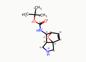 CC(C)(C)OC(=O)NC1C2C=CC3(CNCC13)O2